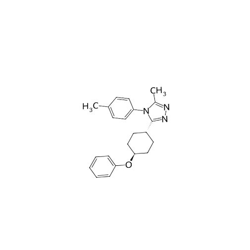 Cc1ccc(-n2c(C)nnc2[C@H]2CC[C@H](Oc3ccccc3)CC2)cc1